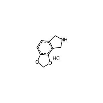 Cl.c1cc2c(c3c1CNC3)OCO2